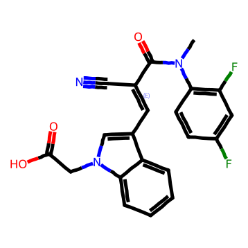 CN(C(=O)/C(C#N)=C/c1cn(CC(=O)O)c2ccccc12)c1ccc(F)cc1F